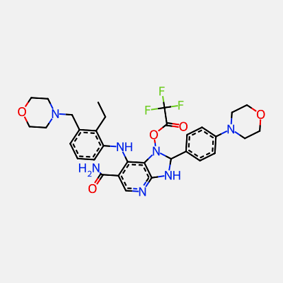 CCc1c(CN2CCOCC2)cccc1Nc1c(C(N)=O)cnc2c1N(OC(=O)C(F)(F)F)C(c1ccc(N3CCOCC3)cc1)N2